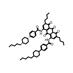 CCCCCC1CCC(c2ccc(C(=O)NC3=C4C(=O)C5=C(C(=O)C(CCCC)C=C5NC(=O)c5ccc([C@H]6CC[C@H](CCCCC)CC6)cc5)C(=O)C4C(=O)C(CCCC)=C3)cc2)CC1